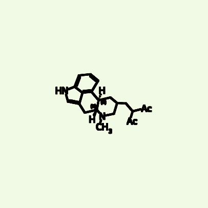 CC(=O)C(CC1C[C@@H]2c3cccc4[nH]cc(c34)C[C@H]2N(C)C1)C(C)=O